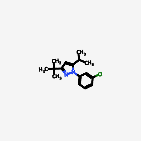 CC(C)c1cc(C(C)(C)C)nn1-c1cccc(Cl)c1